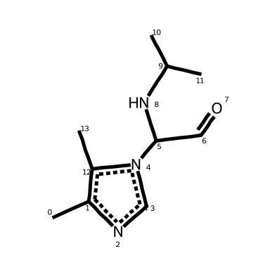 Cc1n[c]n(C(C=O)NC(C)C)c1C